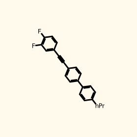 CCCc1ccc(-c2ccc(C#Cc3ccc(F)c(F)c3)cc2)cc1